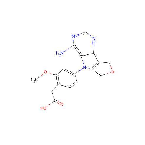 COc1cc(-n2c3c(c4ncnc(N)c42)COC3)ccc1CC(=O)O